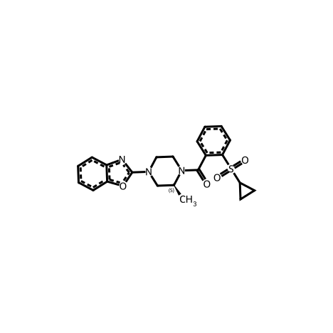 C[C@H]1CN(c2nc3ccccc3o2)CCN1C(=O)c1ccccc1S(=O)(=O)C1CC1